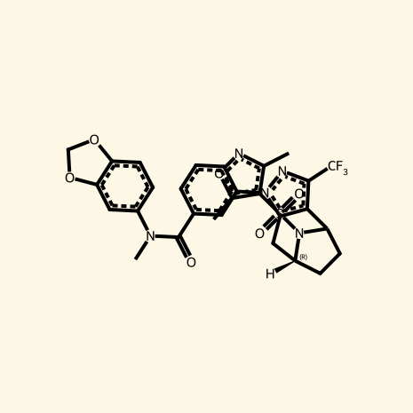 Cc1noc(C)c1S(=O)(=O)N1C2CC[C@@H]1Cc1c2c(C(F)(F)F)nn1-c1cccc(C(=O)N(C)c2ccc3c(c2)OCO3)c1